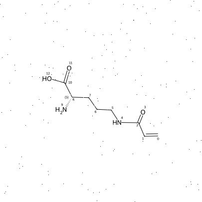 C=CC(=O)NCCC[C@H](N)C(=O)O